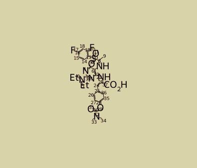 CCN(CC)c1ncc(NC(C)S(=O)(=O)c2ccc(F)cc2F)c(NC(Cc2ccc(OC(=O)N(C)C)cc2)C(=O)O)n1